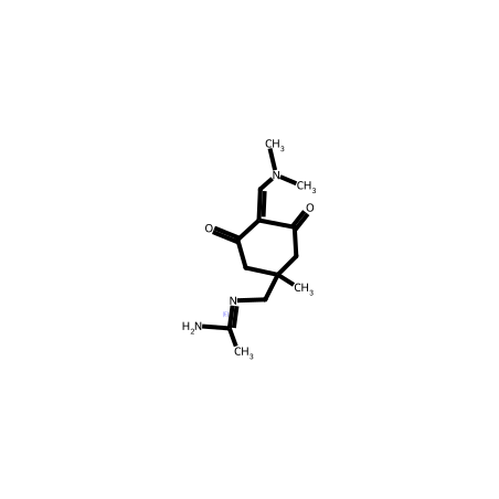 C/C(N)=N\CC1(C)CC(=O)C(=CN(C)C)C(=O)C1